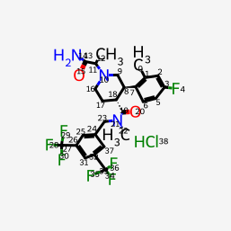 Cc1cc(F)ccc1[C@@H]1CN(C(C)C(N)=O)CC[C@H]1C(=O)N(C)Cc1cc(C(F)(F)F)cc(C(F)(F)F)c1.Cl